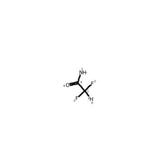 [2H]C(F)(F)C([NH])=O